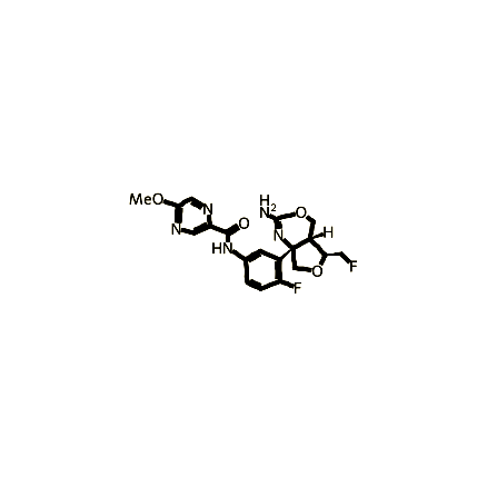 COc1cnc(C(=O)Nc2ccc(F)c([C@]34CO[C@H](CF)[C@H]3COC(N)=N4)c2)cn1